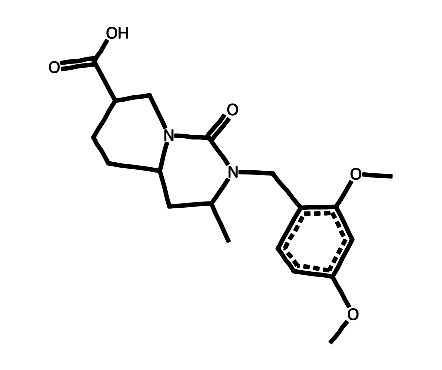 COc1ccc(CN2C(=O)N3CC(C(=O)O)CCC3CC2C)c(OC)c1